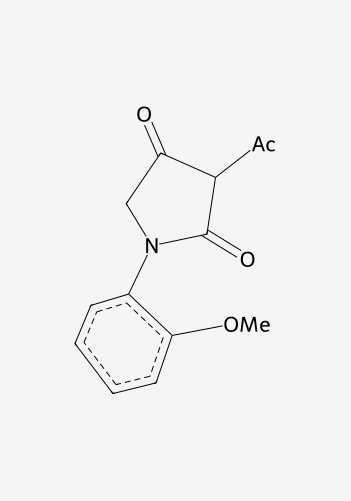 COc1ccccc1N1CC(=O)C(C(C)=O)C1=O